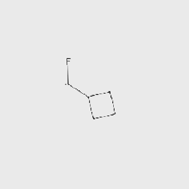 F[CH]C1CCC1